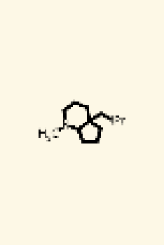 CC(C)CC12CCCC1N(C)CCC2